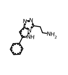 NCCc1nnc2cc(-c3ccccc3)[nH]n12